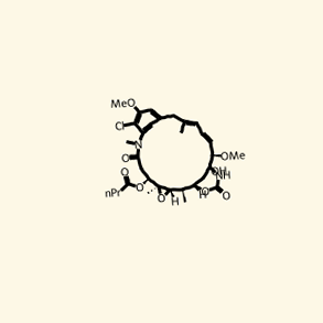 CCCC(=O)O[C@H]1CC(=O)N(C)c2cc(cc(OC)c2Cl)C/C(C)=C/C=C/[C@@H](OC)[C@@]2(O)C[C@H](OC(=O)N2)[C@@H](C)[C@@H]2O[C@@]12C